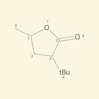 CC1CC(C(C)(C)C)C(=O)O1